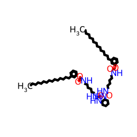 CCCCCCCCCCCCCCCc1cccc(OC(=O)NCCCCCCNC(=O)N[C@@H]2CCCC[C@H]2NC(=O)NCCCCCCNC(=O)Oc2cccc(CCCCCCCCCCCCCCC)c2)c1